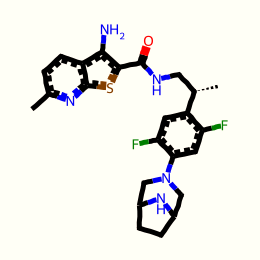 Cc1ccc2c(N)c(C(=O)NC[C@H](C)c3cc(F)c(N4CC5CCC(C4)N5)cc3F)sc2n1